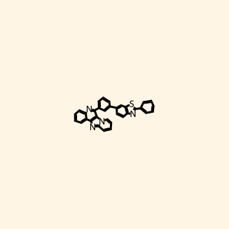 c1ccc(-c2nc3ccc(-c4cccc(-c5nc6ccccc6c6nc7ccccn7c56)c4)cc3s2)cc1